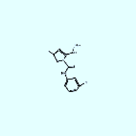 CCCCCCNC1=NC(C)CN1C(=S)Nc1cccc(Cl)c1